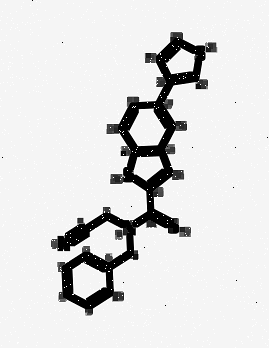 N#CCN(Cc1ccccc1)C(=S)c1cc2cc(-c3ccsc3)ccc2s1